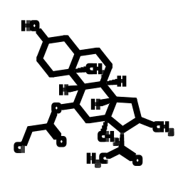 CC(=O)[C@H]1C(C)C[C@H]2[C@@H]3CCC4CC(O)CC[C@]4(C)[C@H]3C(OC(=O)CCl)C[C@]12C